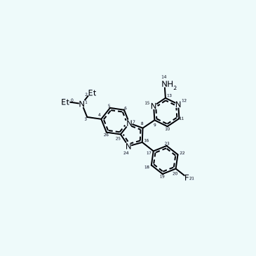 CCN(CC)Cc1ccn2c(-c3ccnc(N)n3)c(-c3ccc(F)cc3)nc2c1